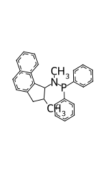 CC1Cc2ccc3ccccc3c2C1N(C)P(c1ccccc1)c1ccccc1